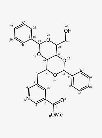 COC(=O)c1cncc(CC2OC(c3ccccc3)OC3C(CO)OC(c4ccccc4)OC23)c1